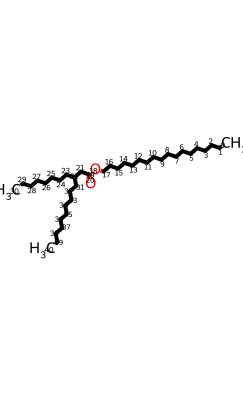 CCCCCCCCCCCCCCCCCCOC(=O)CC(CCCCCCCC)CCCCCCCCCC